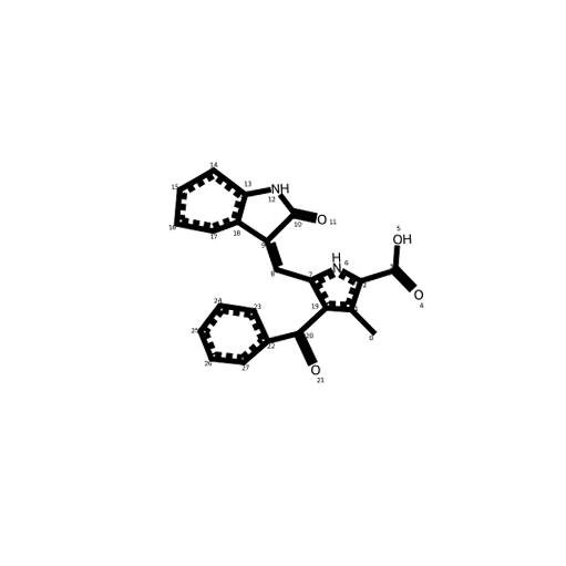 Cc1c(C(=O)O)[nH]c(C=C2C(=O)Nc3ccccc32)c1C(=O)c1ccccc1